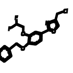 FC(F)COc1cc(-c2nc(CCl)co2)ccc1OCc1ccccc1